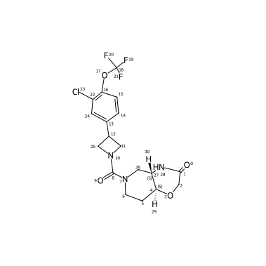 O=C1CO[C@H]2CCN(C(=O)N3CC(c4ccc(OC(F)(F)F)c(Cl)c4)C3)C[C@@H]2N1